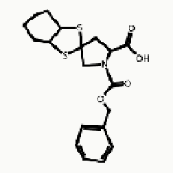 O=C(O)C1CC2(CN1C(=O)OCc1ccccc1)SC1CCCCC1S2